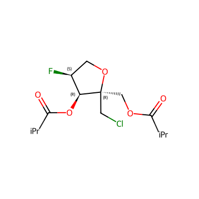 CC(C)C(=O)OC[C@@]1(CCl)OC[C@H](F)[C@@H]1OC(=O)C(C)C